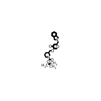 CC(C)(C)OC(=O)N1CCCC(COc2coc(CN3Cc4ccccc4C3)cc2=O)C1